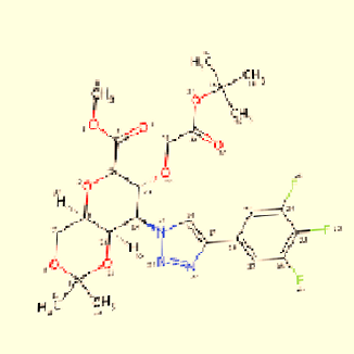 COC(=O)[C@@H]1O[C@@H]2COC(C)(C)O[C@@H]2[C@H](n2cc(-c3cc(F)c(F)c(F)c3)nn2)[C@H]1OCC(=O)OC(C)(C)C